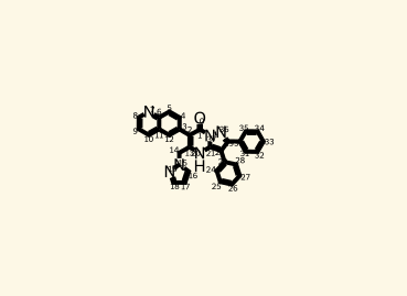 O=c1c(-c2ccc3ncccc3c2)c(Cn2cccn2)[nH]c2c(-c3ccccc3)c(-c3ccccc3)nn12